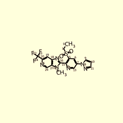 CCS(=O)(=O)c1cc(-n2cccn2)cnc1-c1nc2cc(C(F)(F)F)ncc2n1C